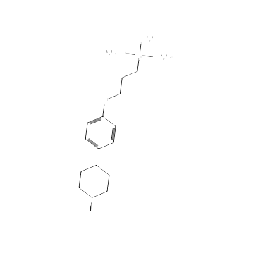 CCC[C@H]1CC[C@H](c2ccc(OCCC[Si](OC)(OC)OC)cc2)CC1